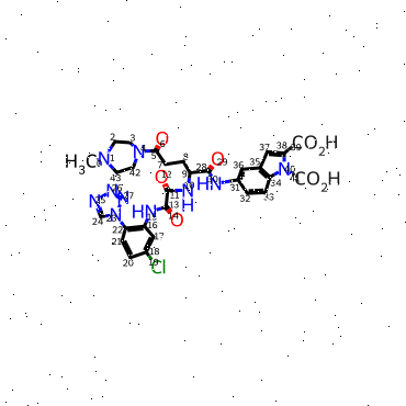 CN1CCN(C(=O)CCC(NC(=O)C(=O)Nc2cc(Cl)ccc2-n2cnnn2)C(=O)Nc2ccc3c(c2)cc(C(=O)O)n3C(=O)O)CC1